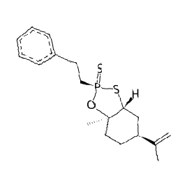 C=C(C)[C@H]1CC[C@@]2(C)O[P@@](=S)(CCc3ccccc3)S[C@@H]2C1